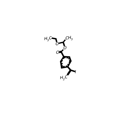 C=C(I)c1ccc(C(=O)OC(C)OCC)cc1